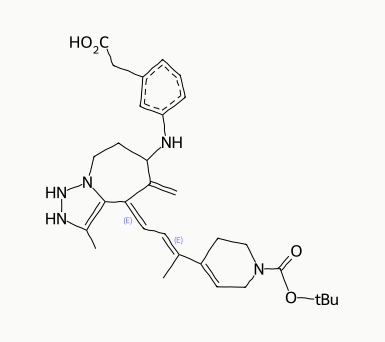 C=C1/C(=C\C=C(/C)C2=CCN(C(=O)OC(C)(C)C)CC2)C2=C(C)NNN2CCC1Nc1cccc(CC(=O)O)c1